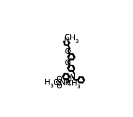 Cc1c(NS(C)(=O)=O)cccc1N(Cc1ccccc1)Cc1ccc(Oc2cccc(OCC3CCN(C)C3)c2)cc1